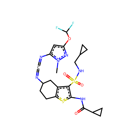 Cn1nc(OC(F)F)cc1N=C=NC1CCc2sc(NC(=O)C3CC3)c(S(=O)(=O)NCC3CC3)c2C1